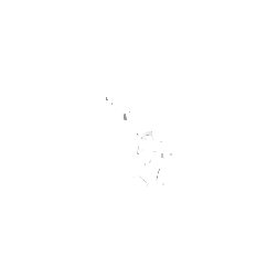 CN(C)CC#CCNC(=O)C(O)(c1ccccc1)C1CCCCC1